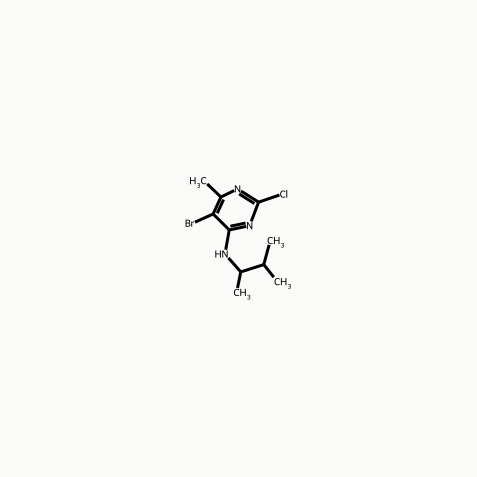 Cc1nc(Cl)nc(NC(C)C(C)C)c1Br